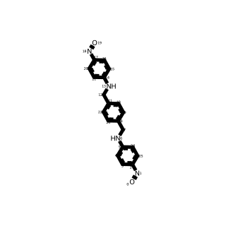 O=Nc1ccc(NCc2ccc(CNc3ccc(N=O)cc3)cc2)cc1